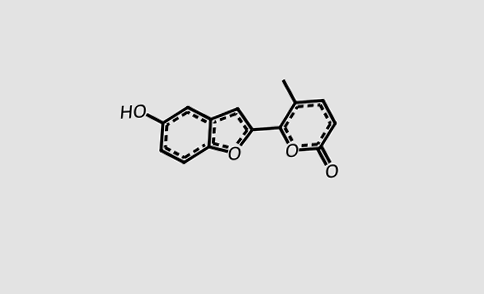 Cc1ccc(=O)oc1-c1cc2cc(O)ccc2o1